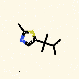 Cc1ncc(C(C)(C)C(C)C)s1